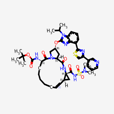 CC(C)n1c(O[C@@H]2C[C@H]3C(=O)N[C@]4(C(=O)NS(=O)(=O)N(C)C)C[C@H]4/C=C\CCCCC[C@H](NC(=O)OC(C)(C)C)C(=O)N3C2)nc2c(-c3nc(-c4cccnc4)cs3)cccc21